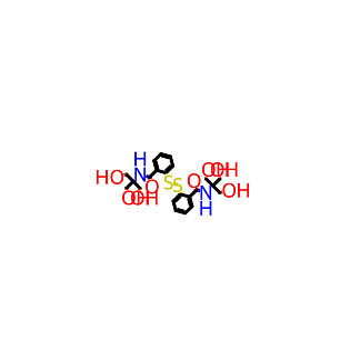 O=C(NC(CO)(CO)CO)c1ccccc1SSc1ccccc1C(=O)NC(CO)(CO)CO